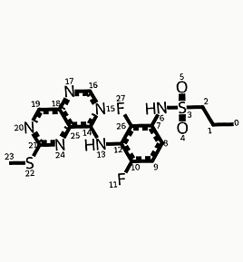 CCCS(=O)(=O)Nc1ccc(F)c(Nc2ncnc3cnc(SC)nc23)c1F